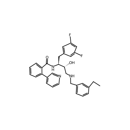 CCc1cccc(CNC[C@@H](O)[C@H](Cc2cc(F)cc(F)c2)NC(=O)c2ccccc2-c2cccnc2)c1